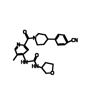 Cc1cnc(C(=O)N2CCC(c3ccc(C#N)cc3)CC2)cc1NC(=O)NC1CCOC1